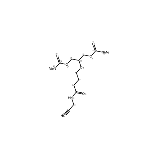 C#CCNC(=O)CCCOC(COC(=O)NC)COC(=O)NC